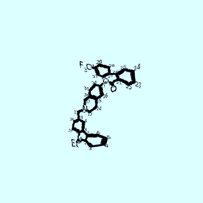 CCn1c2ccccc2c2cc(CN3CCc4cc(OC(=O)c5ccccc5-c5ccc(C(F)(F)F)cc5)ccc4C3)ccc21